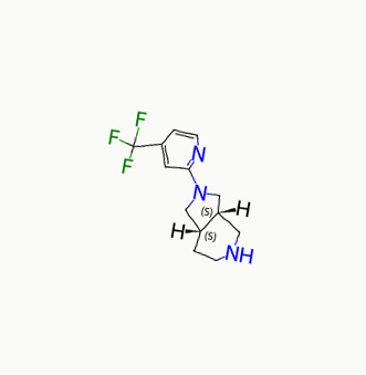 FC(F)(F)c1ccnc(N2C[C@H]3CCNC[C@H]3C2)c1